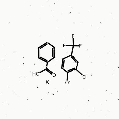 O=C(O)c1ccccc1.[K+].[O-]c1ccc(C(F)(F)F)cc1Cl